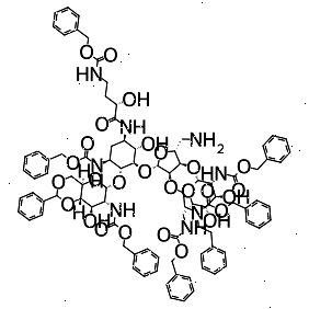 NC[C@H]1O[C@@H](O[C@@H]2[C@@H](O)[C@H](NC(=O)[C@@H](O)CCNC(=O)OCc3ccccc3)C[C@H](NC(=O)OCc3ccccc3)[C@H]2O[C@H]2O[C@@H]3COC(c4ccccc4)O[C@H]3[C@H](O)[C@H]2NC(=O)OCc2ccccc2)[C@H](OCCN(CCc2ccccc2)C(=O)OCc2ccccc2)[C@@H]1O[C@H]1O[C@@H](CNC(=O)OCc2ccccc2)[C@@H](O)[C@H](O)[C@H]1NC(=O)OCc1ccccc1